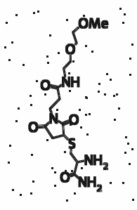 COCCOCCNC(=O)CCN1C(=O)CC(SCC(N)C(N)=O)C1=O